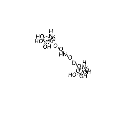 CC(=O)NC1CC(O)[C@@H](O)C(CO)O[C@H]1OCCOCCOCCNCCOCCOCCO[C@@H]1OC(CO)[C@H](O)C(O)C1NC(C)=O